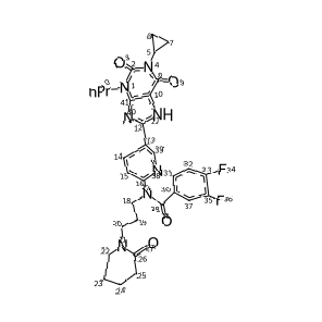 CCCn1c(=O)n(C2CC2)c(=O)c2[nH]c(-c3ccc(N(CCCN4CCCCC4=O)C(=O)c4ccc(F)c(F)c4)nc3)nc21